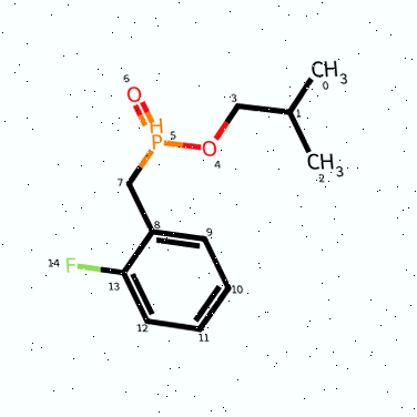 CC(C)CO[PH](=O)Cc1ccccc1F